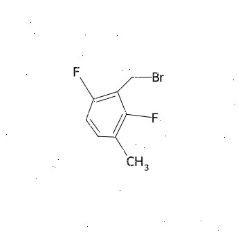 Cc1ccc(F)c(CBr)c1F